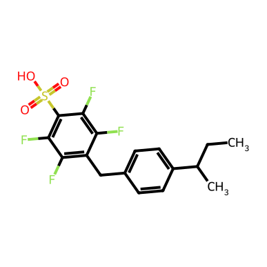 CCC(C)c1ccc(Cc2c(F)c(F)c(S(=O)(=O)O)c(F)c2F)cc1